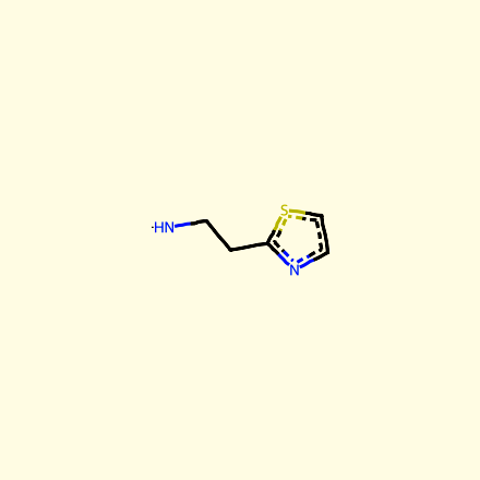 [NH]CCc1nccs1